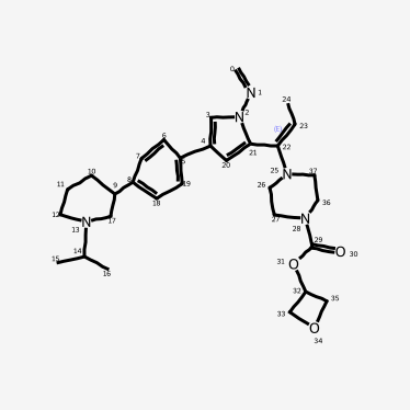 C=Nn1cc(-c2ccc(C3CCCN(C(C)C)C3)cc2)cc1/C(=C\C)N1CCN(C(=O)OC2COC2)CC1